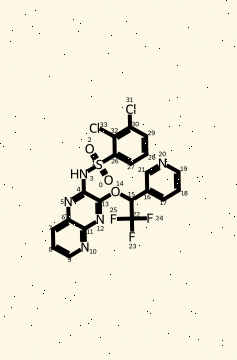 O=S(=O)(Nc1nc2cccnc2nc1OC(c1cccnc1)C(F)(F)F)c1cccc(Cl)c1Cl